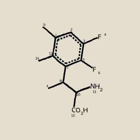 Cc1cc(F)c(F)c(C(C)C(N)C(=O)O)c1C